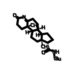 CC(C)(C)NC(=O)[C@H]1CC[C@H]2[C@@H]3CCC4=NC(=O)CC[C@]4(C)[C@H]3CC[C@]12C